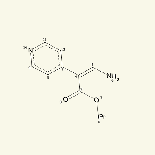 CC(C)OC(=O)/C(=C\N)c1ccncc1